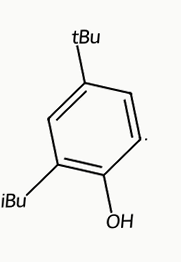 CCC(C)c1cc(C(C)(C)C)c[c]c1O